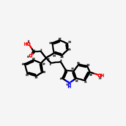 O=C(O)CC(CCc1c[nH]c2cc(O)ccc12)(c1ccccc1)c1ccccc1